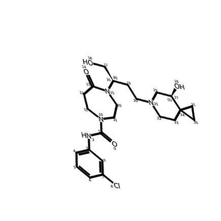 O=C(Nc1cccc(Cl)c1)N1CCC(=O)N([C@@H](CO)CCN2CCC3(CC3)[C@H](O)C2)CC1